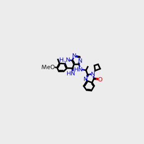 COc1ccc(C(=N)c2c(N)ncnc2NC(C)c2nc3ccccc3c(=O)n2C2CCC2)cc1C